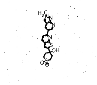 Cn1cc2cc(-c3ccc4cc(C5(O)CCS(=O)(=O)CC5)sc4n3)cnc2n1